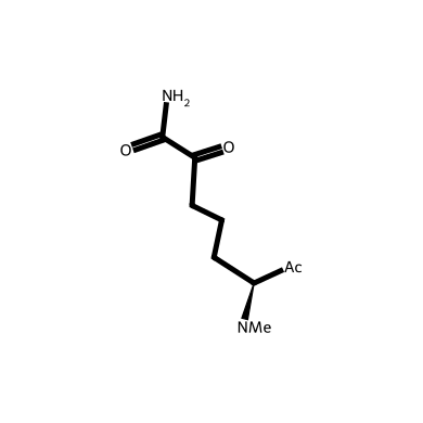 CN[C@@H](CCCC(=O)C(N)=O)C(C)=O